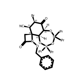 CC(C)[Si]1(C(C)C)O[C@@H]2C(=O)[C@H](Br)[C@H](C#N)[C@]3(CC(=O)N3OCc3ccccc3)[C@@H]2O[Si](C(C)C)(C(C)C)O1